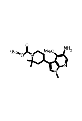 COc1c(N)cnc2c1c(C1CCN(C(=O)OC(C)(C)C)C(C)(C)C1)cn2C